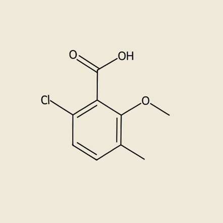 COc1c(C)ccc(Cl)c1C(=O)O